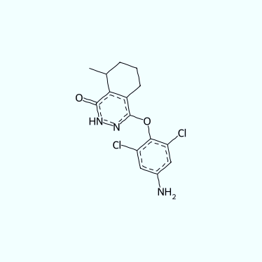 CC1CCCc2c(Oc3c(Cl)cc(N)cc3Cl)n[nH]c(=O)c21